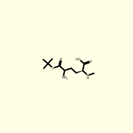 CN[C@@H](CCC(N)C(=O)OC(C)(C)C)C(=O)O